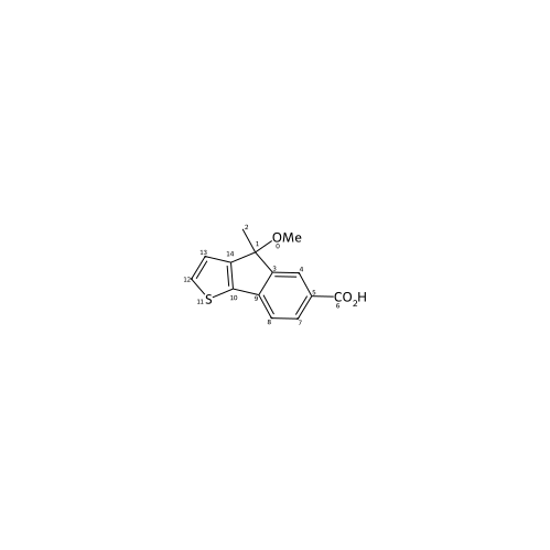 COC1(C)c2cc(C(=O)O)ccc2-c2sccc21